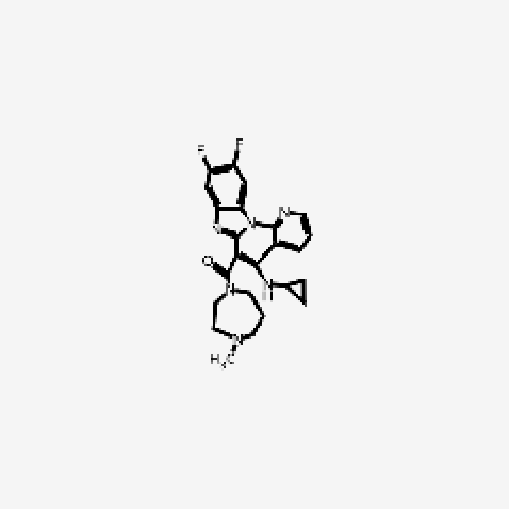 CN1CCCN(C(=O)c2c(NC3CC3)c3cccnc3n3c2nc2cc(F)c(F)cc23)CC1